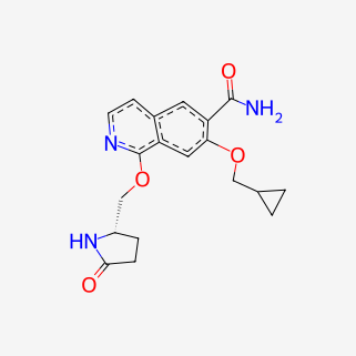 NC(=O)c1cc2ccnc(OC[C@@H]3CCC(=O)N3)c2cc1OCC1CC1